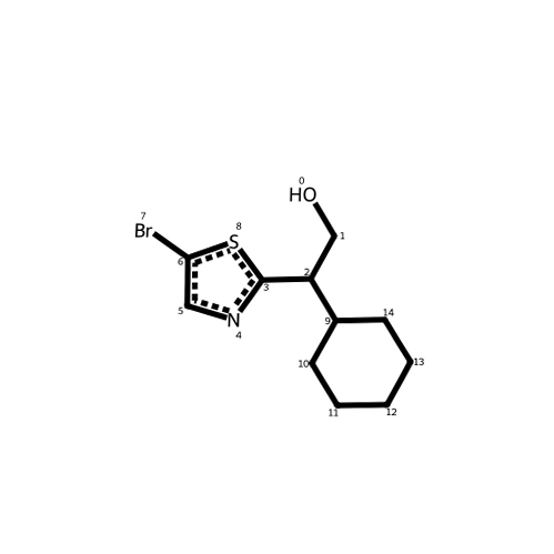 OCC(c1ncc(Br)s1)C1CCCCC1